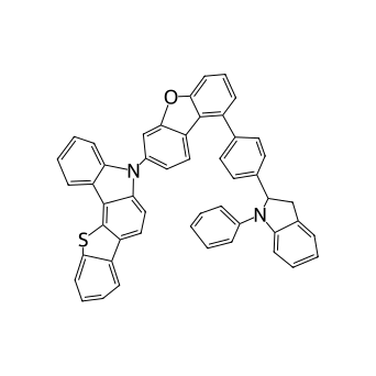 c1ccc(N2c3ccccc3CC2c2ccc(-c3cccc4oc5cc(-n6c7ccccc7c7c8sc9ccccc9c8ccc76)ccc5c34)cc2)cc1